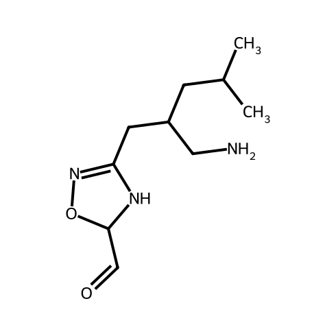 CC(C)CC(CN)CC1=NOC(C=O)N1